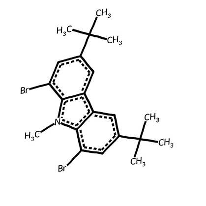 Cn1c2c(Br)cc(C(C)(C)C)cc2c2cc(C(C)(C)C)cc(Br)c21